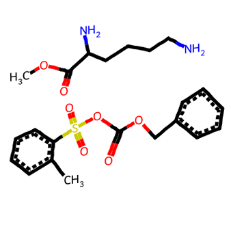 COC(=O)C(N)CCCCN.Cc1ccccc1S(=O)(=O)OC(=O)OCc1ccccc1